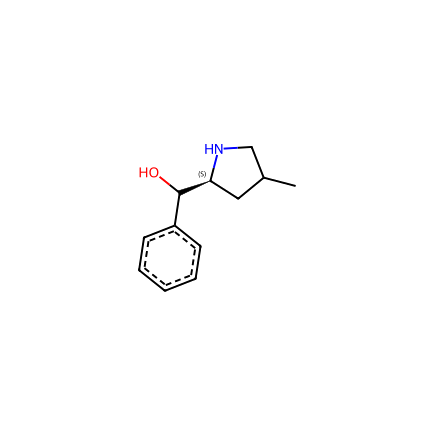 CC1CN[C@H](C(O)c2ccccc2)C1